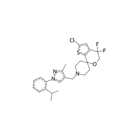 Cc1nn(-c2ccccc2C(C)C)cc1CN1CCC2(CC1)OCC(F)(F)c1cc(Cl)sc12